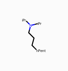 [CH2]CCCCCCCN(C(C)C)C(C)C